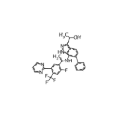 C=C(Nc1c(-c2ccccc2)ccc2c(C(C)O)n[nH]c12)c1cc(-c2ncccn2)c(C(F)(F)F)cc1F